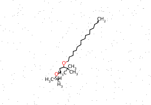 C=CCCCCCCCCCCCCCCOC(CCO[SiH](C)C)C(C)(C)C